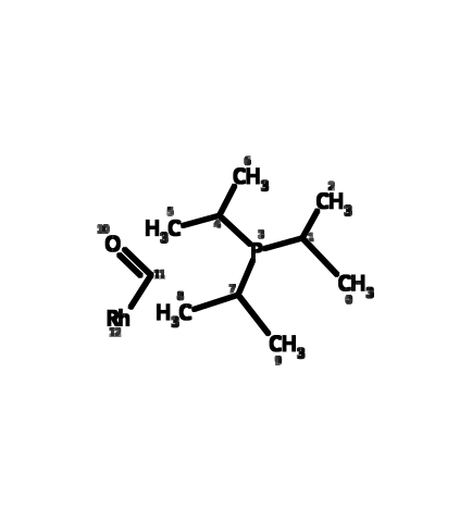 CC(C)P(C(C)C)C(C)C.O=[CH][Rh]